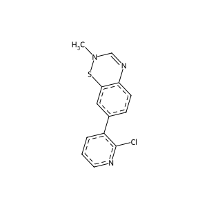 CN1C=Nc2ccc(-c3cccnc3Cl)cc2S1